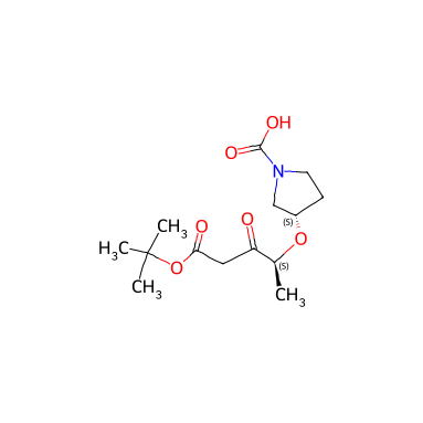 C[C@H](O[C@H]1CCN(C(=O)O)C1)C(=O)CC(=O)OC(C)(C)C